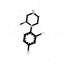 C[C@H]1CNCCN1c1ccc(Cl)cc1F